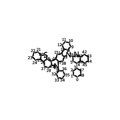 c1ccc(-c2cc(-n3c4ccccc4c4cc5c6c7sc8ccccc8c7ccc6n(-c6ccccc6)c5cc43)nc3ccccc23)cc1